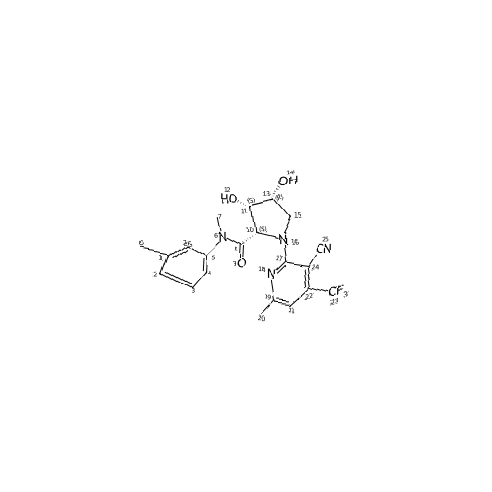 Cc1cccc(N(C)C(=O)[C@@H]2[C@H](O)[C@H](O)CN2c2nc(C)cc(C(F)(F)F)c2C#N)c1